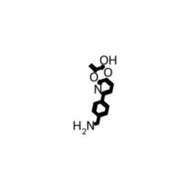 C=C(Oc1cccc(-c2ccc(CN)cc2)n1)C(=O)O